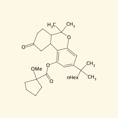 CCCCCCC(C)(C)c1cc(OC(=O)C2(OC)CCCC2)c2c(c1)OC(C)(C)C1CCC(=O)CC21